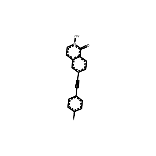 CCCn1ccc2cc(C#Cc3ccc(F)cc3)ccc2c1=O